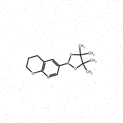 CC1(C)OB(c2cnc3c(c2)CCCO3)OC1(C)C